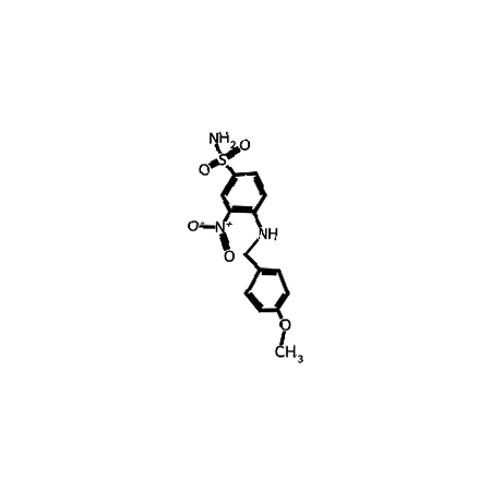 COc1ccc(CNc2ccc(S(N)(=O)=O)cc2[N+](=O)[O-])cc1